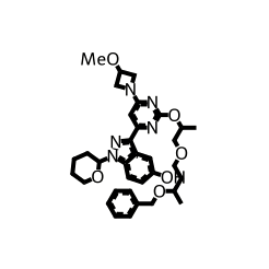 COC1CN(c2cc(-c3nn(C4CCCCO4)c4ccc(O)cc34)nc(OC(C)COCCC(C)OCc3ccccc3)n2)C1